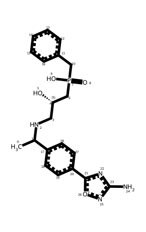 CC(NC[C@H](O)CP(=O)(O)Cc1ccccc1)c1ccc(-c2nc(N)no2)cc1